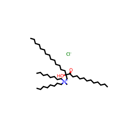 CCCCCCCCCCCCCCC(O)(C[N+](C)(CCCCCCCC)CCCCCCCC)C(=O)CCCCCCCCCCC.[Cl-]